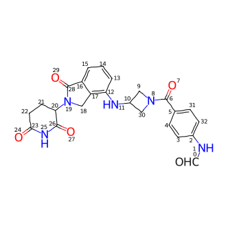 O=CNc1ccc(C(=O)N2CC(Nc3cccc4c3CN(C3CCC(=O)NC3=O)C4=O)C2)cc1